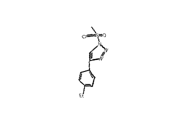 CCc1ccc(-c2cn(S(C)(=O)=O)nn2)cc1